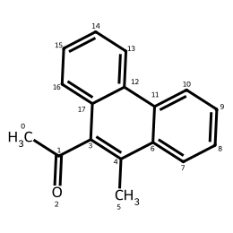 CC(=O)c1c(C)c2ccccc2c2ccccc12